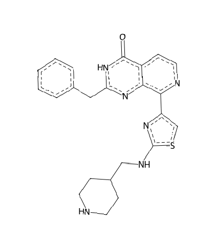 O=c1[nH]c(Cc2ccccc2)nc2c(-c3csc(NCC4CCNCC4)n3)nccc12